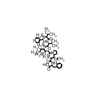 CC[C@H](C)[C@@H]([C@@H](CC(=O)N1CCCC1[C@H](OC)[C@@H](C)C(=O)NC(Cc1ccccc1)C(=O)O)OC)N(C)C(=O)C(NC(=O)C(C(C)C)N(C)Cc1ccncc1)C(C)C